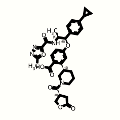 Cc1nnc(C(=O)N[C@@H](C)[C@H](Oc2ccc(C(=O)O)c([C@@H]3CCCN(C(=O)[C@H]4COC(=O)C4)C3)c2)c2ccc(C3CC3)cc2)o1